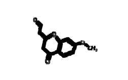 COc1ccc2c(c1)OC(CC=O)CC2=O